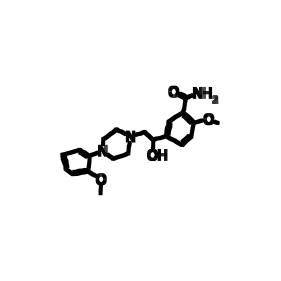 COc1ccc(C(O)CN2CCN(c3ccccc3OC)CC2)cc1C(N)=O